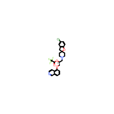 O=C(O[C@H](COc1cccc2cnccc12)CN1CCC2(CC1)Cc1cc(Cl)ccc1O2)C(F)(F)F